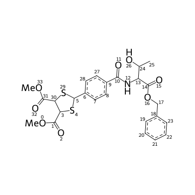 COC(=O)C1SC(c2ccc(C(=O)NC(C(=O)OCc3ccccc3)C(C)O)cc2)SC1C(=O)OC